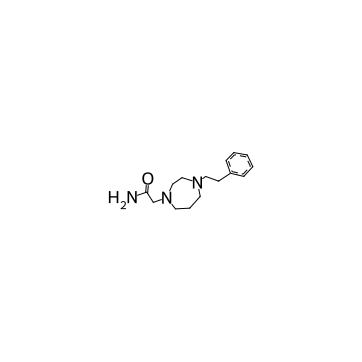 NC(=O)CN1CCCN(CCc2ccccc2)CC1